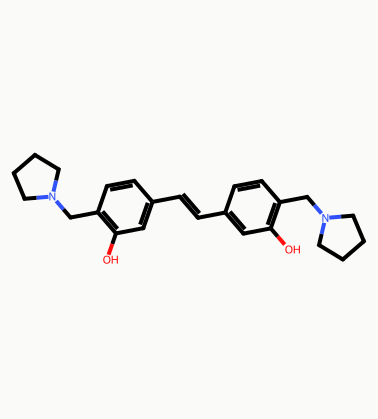 Oc1cc(C=Cc2ccc(CN3CCCC3)c(O)c2)ccc1CN1CCCC1